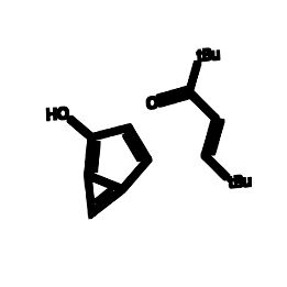 CC(C)(C)C=CC(=O)C(C)(C)C.Oc1ccc2cc1-2